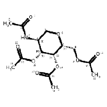 CC(=O)N[C@H]1[CH]O[C@H](COC(C)=O)[C@H](OC(C)=O)[C@@H]1OC(C)=O